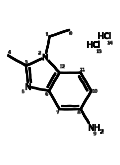 CCn1c(C)nc2cc(N)ccc21.Cl.Cl